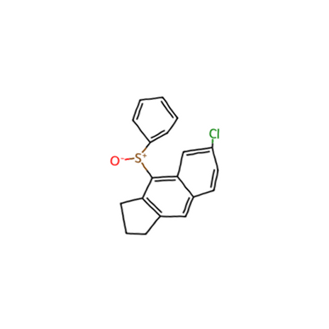 [O-][S+](c1ccccc1)c1c2c(cc3ccc(Cl)cc13)CCC2